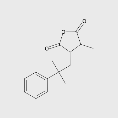 CC1C(=O)OC(=O)C1CC(C)(C)c1ccccc1